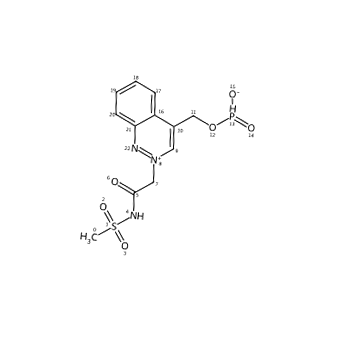 CS(=O)(=O)NC(=O)C[n+]1cc(CO[PH](=O)[O-])c2ccccc2n1